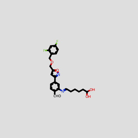 O=Cc1ccc(-c2cc(COCc3ccc(F)cc3F)on2)cc1/N=C/CCCCC(O)O